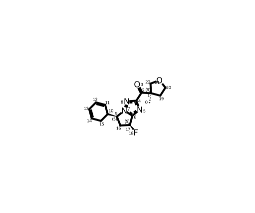 C[C@@]1(C(=O)c2nc3n(n2)[C@H](C2C=CC=CC2)C[C@@H]3F)CCOC1